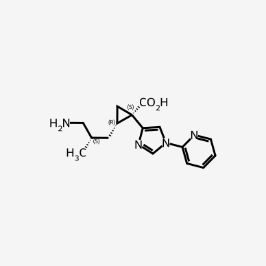 C[C@H](CN)C[C@@H]1C[C@@]1(C(=O)O)c1cn(-c2ccccn2)cn1